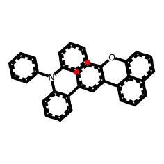 c1ccc(N(c2ccccc2)c2ccccc2-c2ccc3c(c2)-c2cccc4cccc(c24)O3)cc1